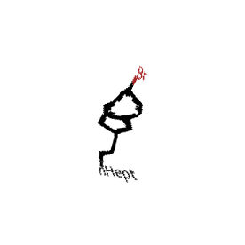 CCCCCCCCCC1=Cc2cc(Br)ccc2C1